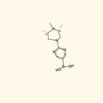 C[C@@H]1CN(c2ncc(B(O)O)cn2)C[C@H](C)N1C